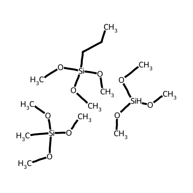 CCC[Si](OC)(OC)OC.CO[SiH](OC)OC.CO[Si](C)(OC)OC